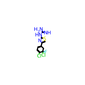 N=C(N)Nc1nc(C2=CC=C(Cl)C(F)(Cl)C2)cs1